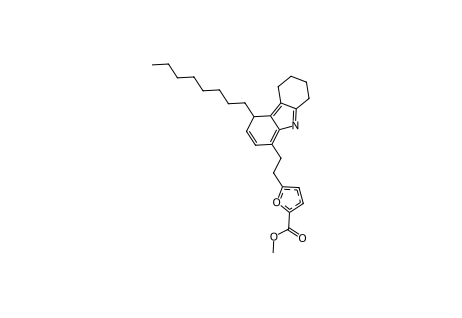 CCCCCCCCC1C=CC(CCc2ccc(C(=O)OC)o2)=C2N=C3CCCCC3=C21